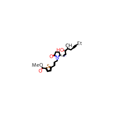 CCC#CC[C@H](C)[C@@H](O)/C=C\[C@H]1CCC(=O)N1CC=Cc1ccc(C(=O)OC)s1